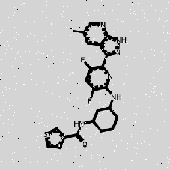 O=C(NC1CCCC(Nc2nc(-c3n[nH]c4ncc(F)cc34)c(F)cc2F)C1)c1ccsc1